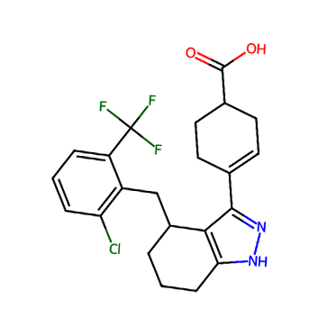 O=C(O)C1CC=C(c2n[nH]c3c2C(Cc2c(Cl)cccc2C(F)(F)F)CCC3)CC1